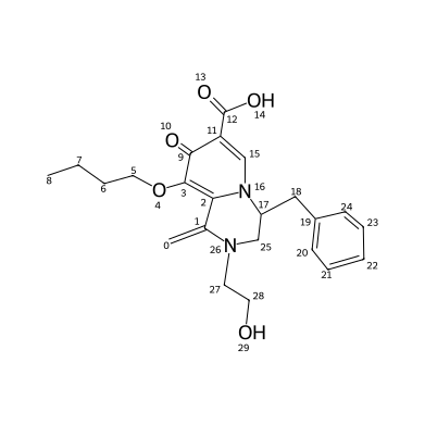 C=C1c2c(OCCCC)c(=O)c(C(=O)O)cn2C(Cc2ccccc2)CN1CCO